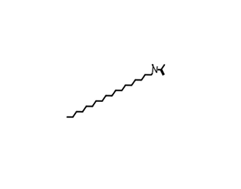 C=C(C)N(C)CCCCCCCCCCCCCCCCCC